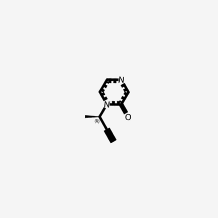 C#C[C@@H](C)n1ccncc1=O